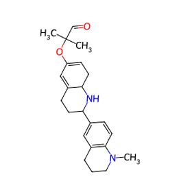 CN1CCCc2cc(C3CCC4=CC(OC(C)(C)C=O)=CCC4N3)ccc21